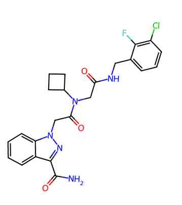 NC(=O)c1nn(CC(=O)N(CC(=O)NCc2cccc(Cl)c2F)C2CCC2)c2ccccc12